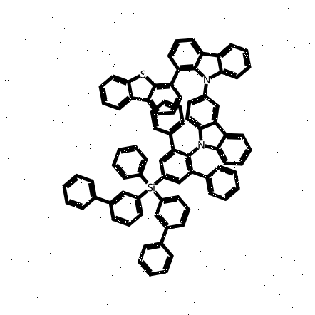 c1ccc(-c2cccc([Si](c3ccccc3)(c3cccc(-c4ccccc4)c3)c3cc(-c4ccccc4)c(-n4c5ccccc5c5cc(-n6c7ccccc7c7cccc(-c8cccc9c8sc8ccccc89)c76)ccc54)c(-c4ccccc4)c3)c2)cc1